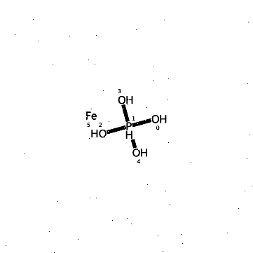 O[PH](O)(O)O.[Fe]